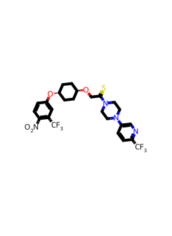 O=[N+]([O-])c1ccc(O[C@H]2CC[C@H](OCC(=S)N3CCN(c4ccc(C(F)(F)F)nc4)CC3)CC2)cc1C(F)(F)F